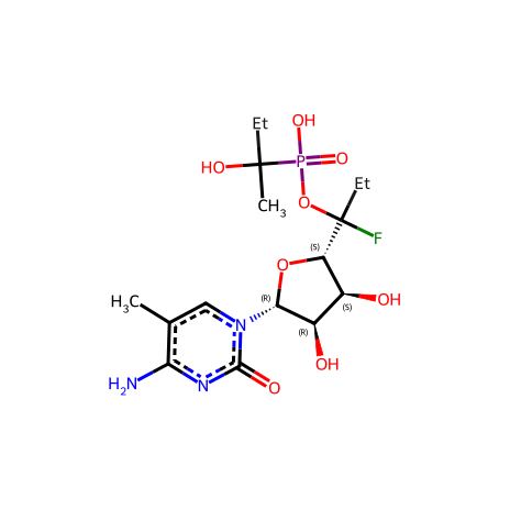 CCC(F)(OP(=O)(O)C(C)(O)CC)[C@H]1O[C@@H](n2cc(C)c(N)nc2=O)[C@H](O)[C@@H]1O